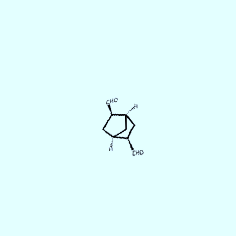 O=C[C@@H]1C[C@H]2C[C@@H]1C[C@H]2C=O